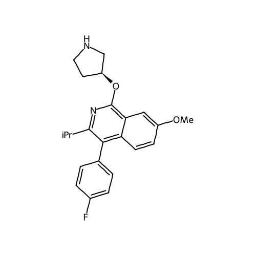 COc1ccc2c(-c3ccc(F)cc3)c(C(C)C)nc(O[C@H]3CCNC3)c2c1